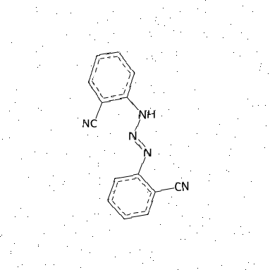 N#Cc1ccccc1/N=N/Nc1ccccc1C#N